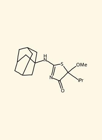 COC1(C(C)C)SC(NC23CC4CC(CC(C4)C2)C3)=NC1=O